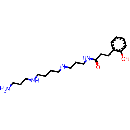 NCCCNCCCCNCCCNC(=O)CCc1ccccc1O